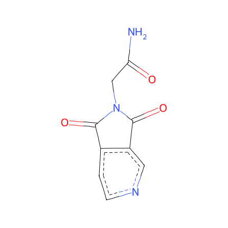 NC(=O)CN1C(=O)c2ccncc2C1=O